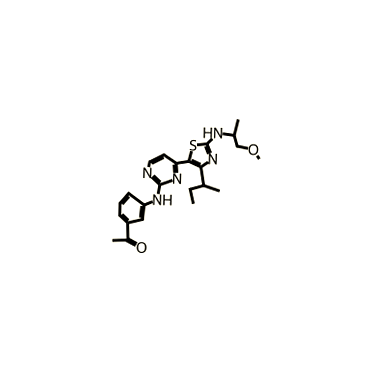 CCC(C)c1nc(NC(C)COC)sc1-c1ccnc(Nc2cccc(C(C)=O)c2)n1